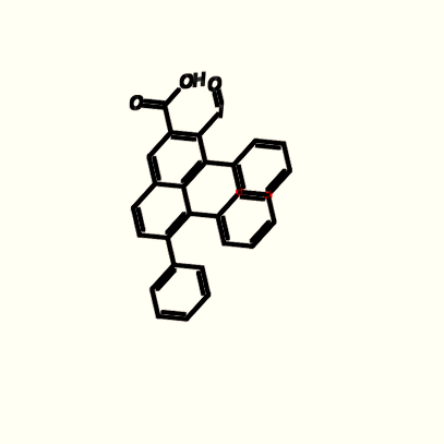 O=Ic1c(C(=O)O)cc2ccc(-c3ccccc3)c(-c3ccccc3)c2c1-c1ccccc1